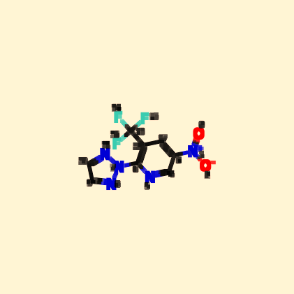 O=[N+]([O-])c1cnc(-n2nccn2)c(C(F)(F)F)c1